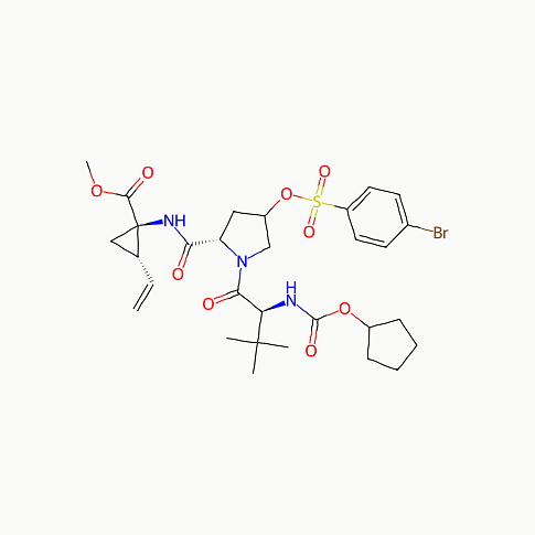 C=C[C@@H]1C[C@]1(NC(=O)[C@@H]1CC(OS(=O)(=O)c2ccc(Br)cc2)CN1C(=O)[C@@H](NC(=O)OC1CCCC1)C(C)(C)C)C(=O)OC